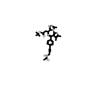 CC(=O)NCC#Cc1ccc(C2=NC(CC(=O)OC(C)(C)C)c3nnc(C)n3-c3sc(C)c(C)c32)cc1